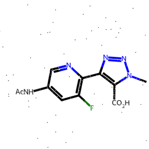 CC(=O)Nc1cnc(-c2nnn(C)c2C(=O)O)c(F)c1